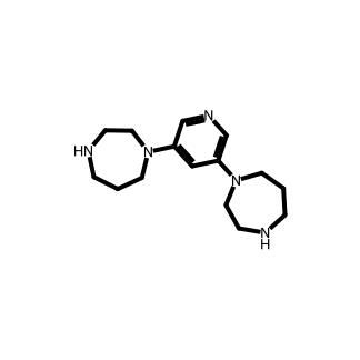 c1ncc(N2CCCNCC2)cc1N1CCCNCC1